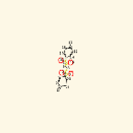 Cc1ccc(S(=O)(=O)CCS(=O)(=O)c2ccc(C)cc2)cc1